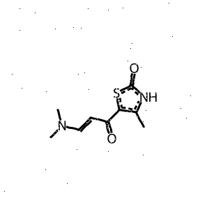 Cc1[nH]c(=O)sc1C(=O)/C=C/N(C)C